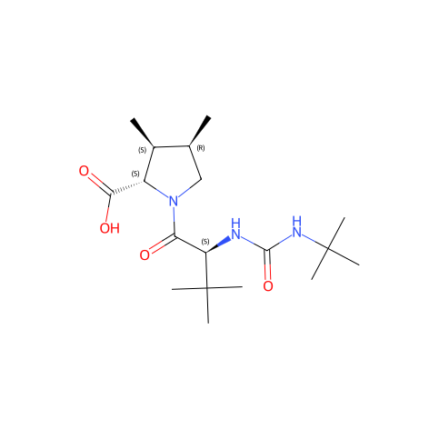 C[C@@H]1[C@@H](C(=O)O)N(C(=O)[C@@H](NC(=O)NC(C)(C)C)C(C)(C)C)C[C@@H]1C